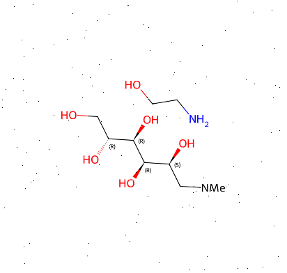 CNC[C@H](O)[C@@H](O)[C@H](O)[C@H](O)CO.NCCO